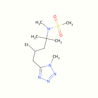 CCC(Cc1nnnn1C)CC(C)(C)N(C)S(C)(=O)=O